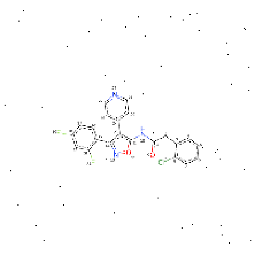 O=C(Cc1ccccc1Cl)Nc1onc(-c2ccc(F)cc2F)c1-c1ccncc1